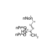 C=C(C=CCCCCCCCCCC)[SiH](OCCC)OCCC